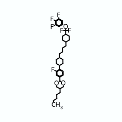 CCCCCC1COC(c2ccc(C3CCC(CCCCC4CCC(C(F)(F)Oc5cc(F)c(F)c(F)c5)CC4)CC3)c(F)c2)OC1